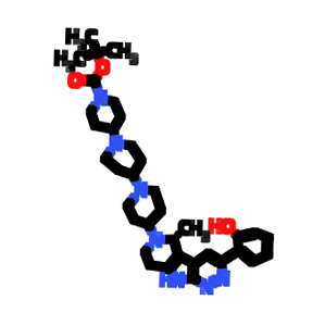 C[C@@H]1c2c([nH]c3nnc(-c4ccccc4O)cc23)CCN1C1CCN(C2CCN(C3CCN(C(=O)OC(C)(C)C)CC3)CC2)CC1